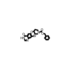 O=C(OCc1ccccc1)N1CCC(Oc2cc3c(=O)[nH]cnc3cc2Br)CC1